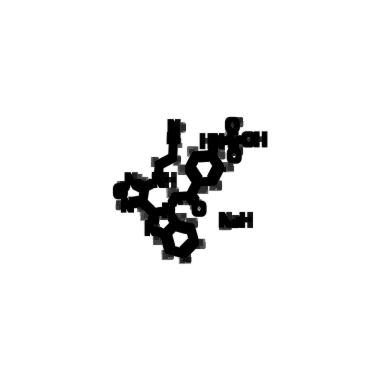 N#CCCNc1nonc1-c1nc2ccccc2n1CC(=O)c1ccc(NS(=O)(=O)O)cc1.[NaH]